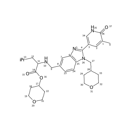 Cc1cc(-c2nc3cc(CNC(CC(C)C)C(=O)OC4CCOCC4)ccc3n2CC2CCOCC2)c[nH]c1=O